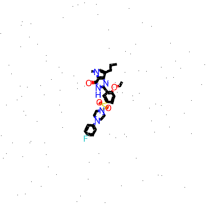 CCCc1cn(C)c2c(=O)[nH]c(-c3cc(S(=O)(=O)N4CCN(c5ccc(F)cc5)CC4)ccc3OCC)nc12